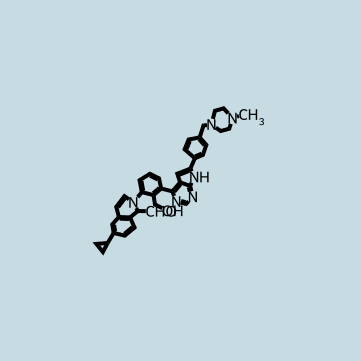 CN1CCN(Cc2ccc(-c3cc4c(-c5cccc(N6C=Cc7cc(C8CC8)ccc7C6C=O)c5CO)ncnc4[nH]3)cc2)CC1